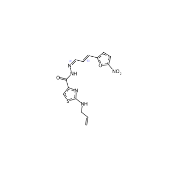 C=CCNc1nc(C(=O)N/N=C\C=C\c2ccc([N+](=O)[O-])o2)cs1